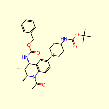 CC(=O)N1c2ccc(N3CCC(NC(=O)OC(C)(C)C)CC3)cc2[C@H](NC(=O)OCc2ccccc2)[C@@H](C)[C@@H]1C